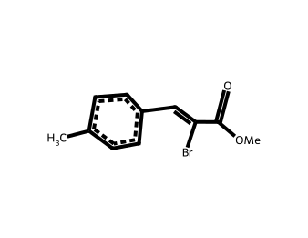 COC(=O)C(Br)=Cc1ccc(C)cc1